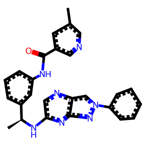 Cc1cncc(C(=O)Nc2cccc([C@H](C)Nc3cnc4cn(-c5ccccc5)nc4n3)c2)c1